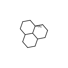 CC(=O)C12CCCC3CCCC(CCC1)C32